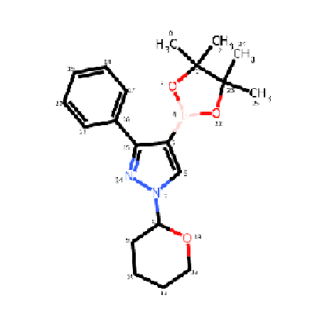 CC1(C)OB(c2cn(C3CCCCO3)nc2-c2ccccc2)OC1(C)C